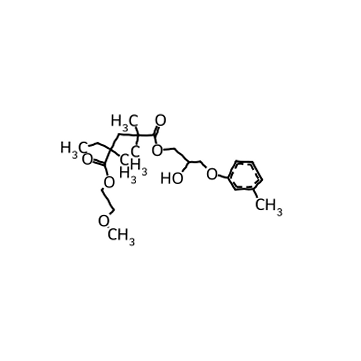 CCC(C)(CC(C)(C)C(=O)OCC(O)COc1cccc(C)c1)C(=O)OCCOC